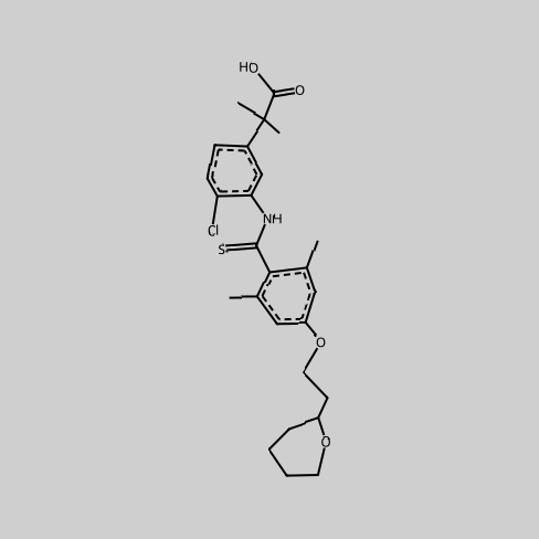 Cc1cc(OCCC2CCCCO2)cc(C)c1C(=S)Nc1cc(C(C)(C)C(=O)O)ccc1Cl